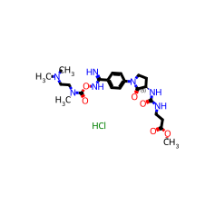 COC(=O)CCNC(=O)N[C@H]1CCN(c2ccc(C(=N)NOC(=O)N(C)CCN(C)C)cc2)C1=O.Cl